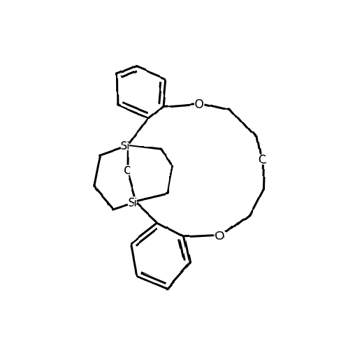 c1ccc2c(c1)OCCCCCOc1ccccc1[Si]13CCC[Si]2(CCC1)C3